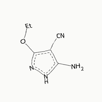 CCOc1n[nH]c(N)c1C#N